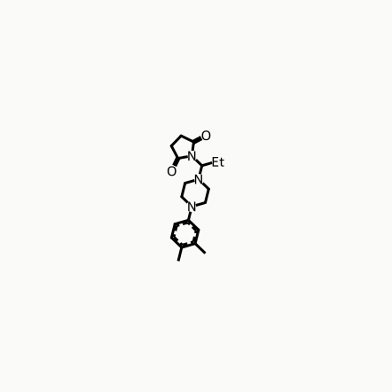 CCC(N1CCN(c2ccc(C)c(C)c2)CC1)N1C(=O)CCC1=O